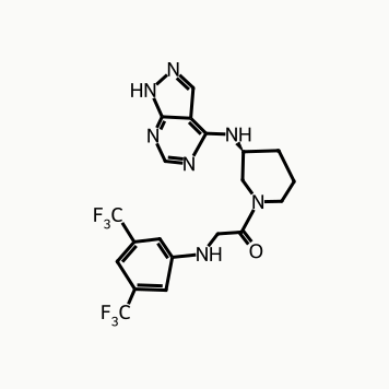 O=C(CNc1cc(C(F)(F)F)cc(C(F)(F)F)c1)N1CCC[C@H](Nc2ncnc3[nH]ncc23)C1